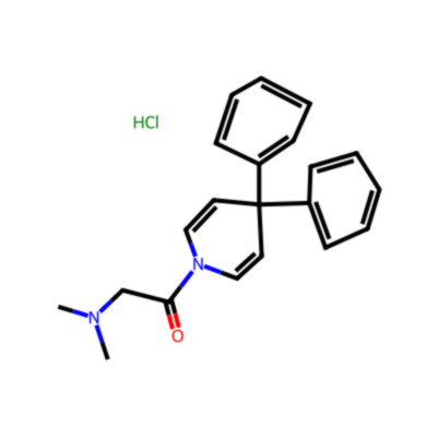 CN(C)CC(=O)N1C=CC(c2ccccc2)(c2ccccc2)C=C1.Cl